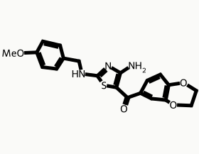 COc1ccc(CNc2nc(N)c(C(=O)c3ccc4c(c3)OCCO4)s2)cc1